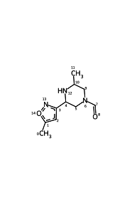 Cc1cc(C2CN(C=O)CC(C)N2)no1